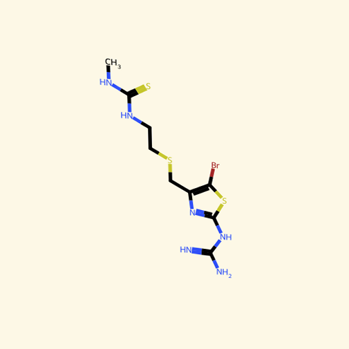 CNC(=S)NCCSCc1nc(NC(=N)N)sc1Br